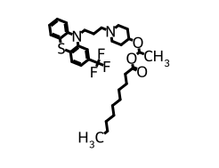 CCCCCCCCCC(=O)OC(C)OC1CCN(CCCN2c3ccccc3Sc3ccc(C(F)(F)F)cc32)CC1